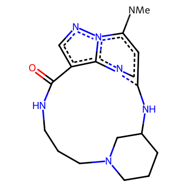 CNc1cc2nc3c(cnn13)C(=O)NCCCN1CCCC(C1)N2